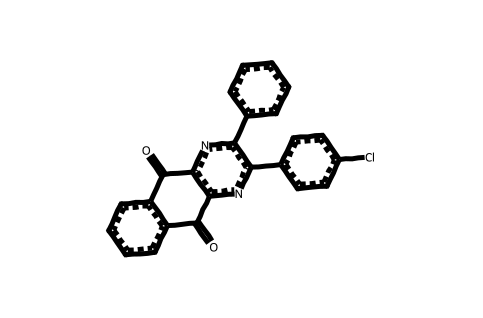 O=C1c2ccccc2C(=O)c2nc(-c3ccc(Cl)cc3)c(-c3ccccc3)nc21